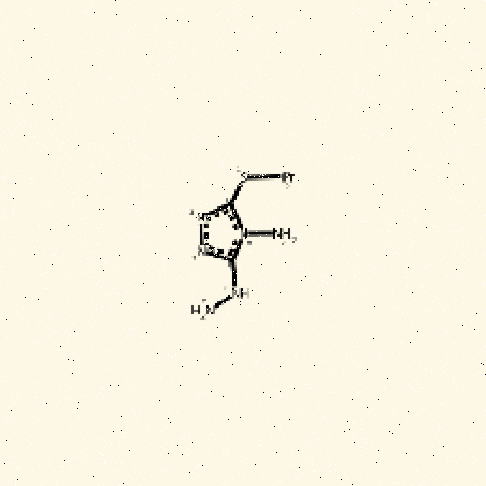 CC(C)Sc1nnc(NN)n1N